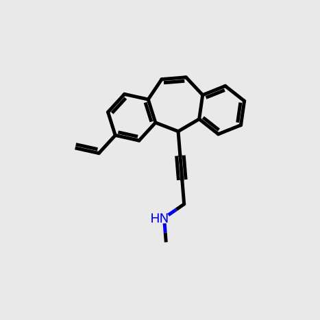 C=Cc1ccc2c(c1)C(C#CCNC)c1ccccc1C=C2